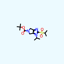 CC(C)n1c(S(=O)(=O)C(C)C)nc2c1CN(C(=O)OC(C)(C)C)C2